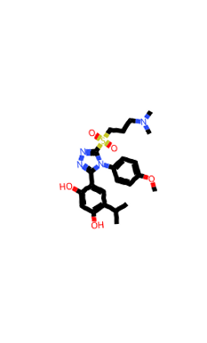 COc1ccc(-n2c(-c3cc(C(C)C)c(O)cc3O)nnc2S(=O)(=O)CCCN(C)C)cc1